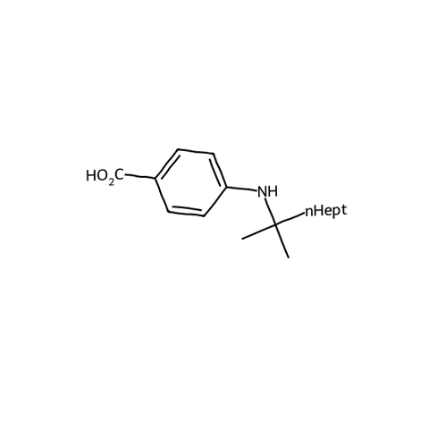 CCCCCCCC(C)(C)Nc1ccc(C(=O)O)cc1